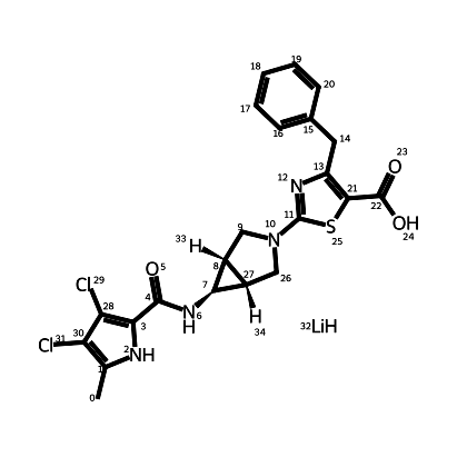 Cc1[nH]c(C(=O)N[C@H]2[C@@H]3CN(c4nc(Cc5ccccc5)c(C(=O)O)s4)C[C@@H]32)c(Cl)c1Cl.[LiH]